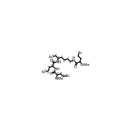 CNC(CCC(C)=O)C(=O)NCCCCC(CC(C)=O)NC(=O)C(CCC(C)=O)NC(=O)C(CCC(C)=O)NC